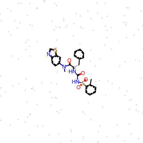 Cc1ccccc1S(=O)(=O)NC(=O)N[C@@H](Cc1ccccc1)C(=O)N(C)c1ccc2ncsc2c1